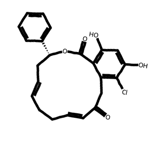 O=C1/C=C/CC/C=C/C[C@H](c2ccccc2)OC(=O)c2c(O)cc(O)c(Cl)c2C1